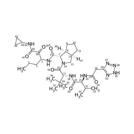 CCCC(NC(=O)[C@@H]1[C@H]2CCC[C@H]2CN1C(=O)[C@H](NC(=O)[C@@H](NC(=O)Cc1nn[nH]n1)C(C)C)C(C)(C)C)C(=O)C(=O)NC1CC1